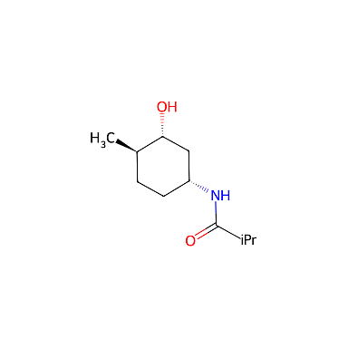 CC(C)C(=O)N[C@@H]1CC[C@@H](C)[C@H](O)C1